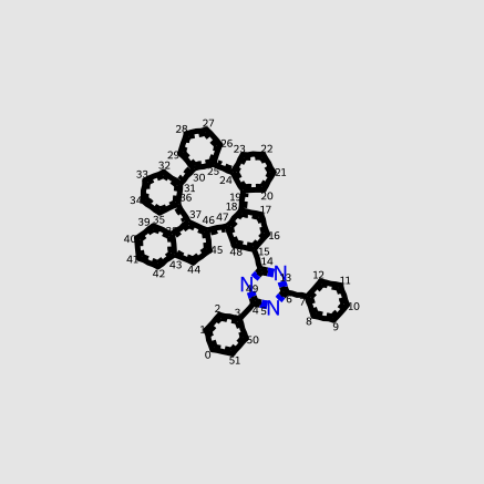 c1ccc(-c2nc(-c3ccccc3)nc(-c3ccc4c5ccccc5c5ccccc5c5ccccc5c5c6ccccc6ccc5c4c3)n2)cc1